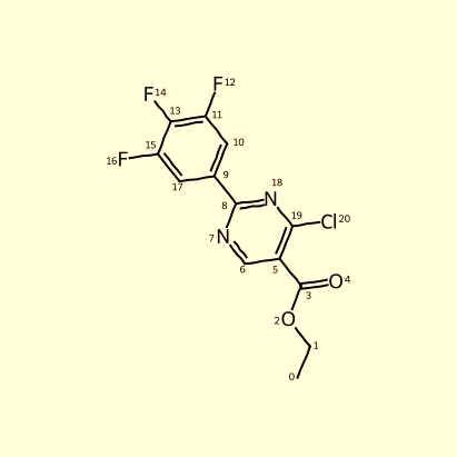 CCOC(=O)c1cnc(-c2cc(F)c(F)c(F)c2)nc1Cl